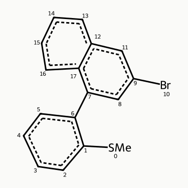 CSc1ccccc1-c1cc(Br)cc2ccccc12